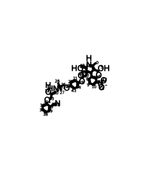 CC1=C(C(=O)O)C(c2cccc([N+](=O)[O-])c2)C(CCOc2ccc(OCC(C)(C)NCC(O)COc3ccccc3C#N)cc2)(C(=O)O)C(C)N1